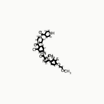 COCCOc1ccc(-c2cnc(C(=O)Nc3ccc(C(=O)N4CCN(C(=O)C5CCNCC5)CC4)c(Cl)c3)n2C)c(F)c1F